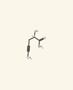 CC#CC[C@@H](CCC)C(N)=O